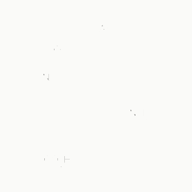 CC(=O)c1onc(CCC(=O)O)c1CN